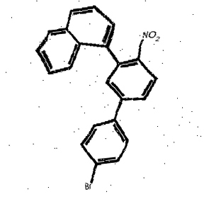 O=[N+]([O-])c1ccc(-c2ccc(Br)cc2)cc1-c1cccc2ccccc12